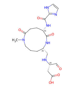 CN1CCC[C@@H](CN[C@H](C=O)CC(=O)O)NC(=O)[C@@H](NC(=O)c2ncc[nH]2)CCC1=O